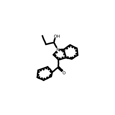 CCC(O)n1cc(C(=O)c2ccccc2)c2ccccc21